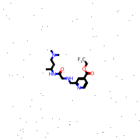 CC(CCN(C)C)NC(=O)CNCc1cc(C(=O)OCC(F)(F)F)ccn1